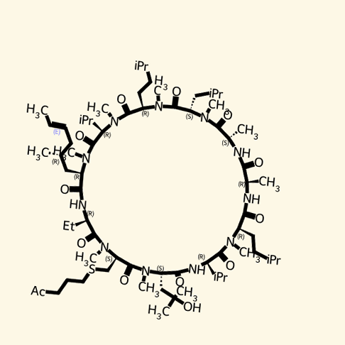 C/C=C/C[C@@H](C)C[C@@H]1C(=O)N[C@H](CC)C(=O)N(C)[C@H](CSCCCC(C)=O)C(=O)N(C)[C@@H](CC(C)(C)O)C(=O)N[C@H](C(C)C)C(=O)N(C)[C@H](CCC(C)C)C(=O)N[C@H](C)C(=O)N[C@@H](C)C(=O)N(C)[C@@H](CC(C)C)C(=O)N(C)[C@H](CCC(C)C)C(=O)N(C)[C@H](C(C)C)C(=O)N1C